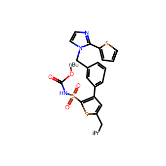 CCCCOC(=O)NS(=O)(=O)c1sc(CC(C)C)cc1-c1cccc(Cn2ccnc2-c2cccs2)c1